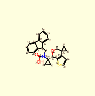 O=C(O)N(CC1c2ccccc2-c2ccccc21)C1([C@@H]2OCC3(CC3)c3ccsc32)CC1